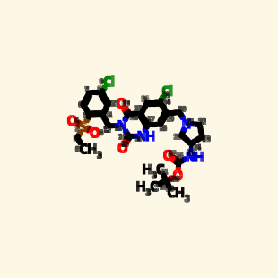 CCS(=O)(=O)c1ccc(Cl)cc1Cn1c(=O)[nH]c2cc(CN3CC[C@@H](NC(=O)OC(C)(C)C)C3)c(Cl)cc2c1=O